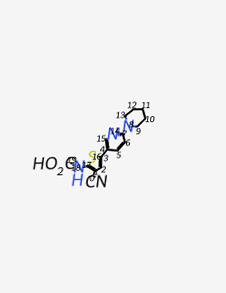 N#Cc1cc(-c2ccc(N3CCCCC3)nc2)sc1NC(=O)O